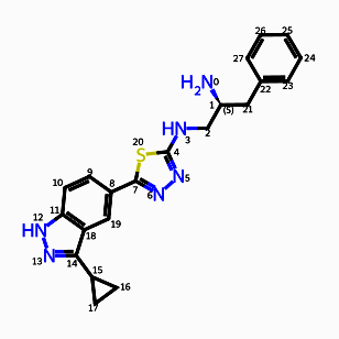 N[C@H](CNc1nnc(-c2ccc3[nH]nc(C4CC4)c3c2)s1)Cc1ccccc1